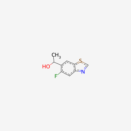 CC(O)c1cc2scnc2cc1F